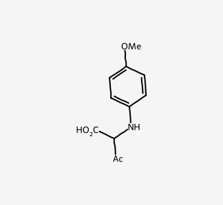 COc1ccc(NC(C(C)=O)C(=O)O)cc1